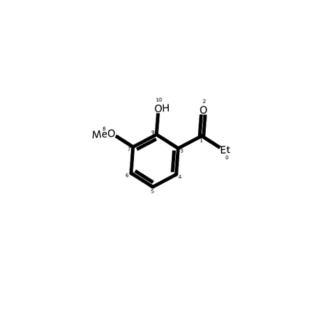 CCC(=O)c1cccc(OC)c1O